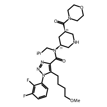 COCCCCc1c(C(=O)N(CC(C)C)[C@@H]2CNC[C@H](C(=O)N3CCOCC3)C2)nnn1-c1cccc(F)c1F